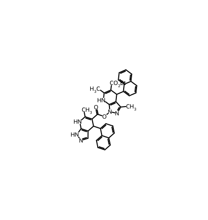 CCOC(=O)C1=C(C)Nc2c(c(C)nn2OC(=O)C2=C(C)Nc3[nH]ncc3C2c2cccc3ccccc23)C1c1cccc2ccccc12